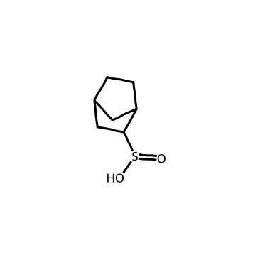 O=S(O)C1CC2CCC1C2